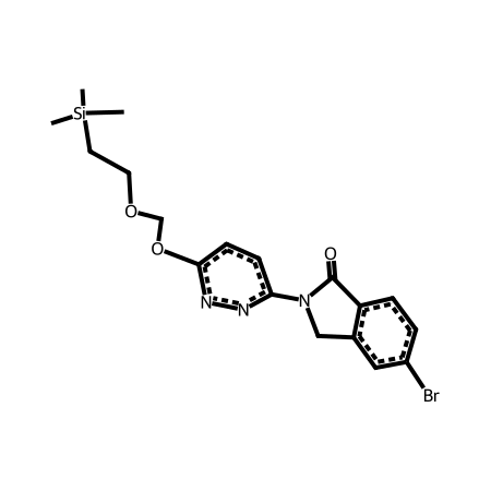 C[Si](C)(C)CCOCOc1ccc(N2Cc3cc(Br)ccc3C2=O)nn1